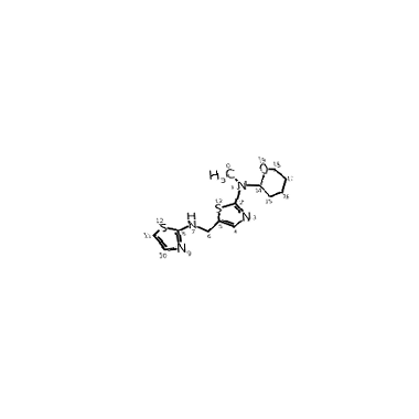 CN(c1ncc(CNc2nccs2)s1)C1CCCCO1